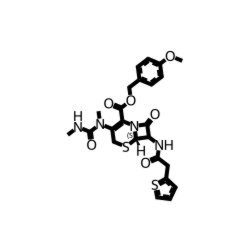 CNC(=O)N(C)C1=C(C(=O)OCc2ccc(OC)cc2)N2C(=O)C(NC(=O)Cc3cccs3)[C@@H]2SC1